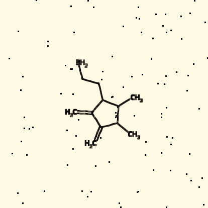 BCCC1C(=C)C(=C)C(C)C1C